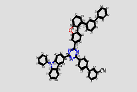 N#Cc1cccc(-c2ccc(-c3nc(-c4ccc5c(c4)oc4cccc(-c6cccc(-c7ccccc7)c6)c45)nc(-c4ccc5c(c4)c4ccccc4n5-c4ccccc4)n3)cc2)c1